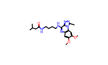 COc1cc2nc(NCCCCNC(=O)CC(C)C)c3nnc(C)n3c2cc1OC